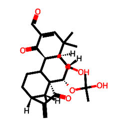 C=C1C(=O)[C@@]23C(CC[C@@H]1[C@H]2C)[C@@]12CO[C@]3(OC(C)(C)O)[C@@H](O)[C@@H]1C(C)(C)C=C(C=O)C2=O